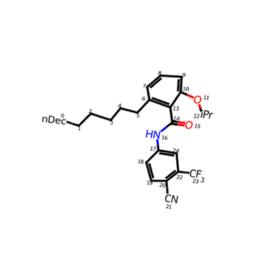 CCCCCCCCCCCCCCCc1cccc(OC(C)C)c1C(=O)Nc1ccc(C#N)c(C(F)(F)F)c1